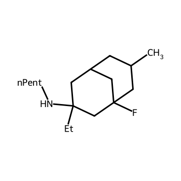 CCCCCNC1(CC)CC2CC(C)CC(F)(C2)C1